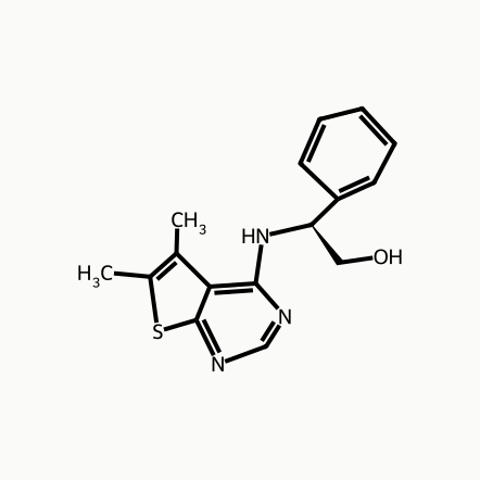 Cc1sc2ncnc(N[C@H](CO)c3ccccc3)c2c1C